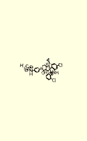 CS(=O)(=O)Nc1ccc(N2CC[C@H]3[C@@H](C2=O)[C@H](c2cccc(Cl)c2F)[C@]2(C(=O)Nc4cc(Cl)ccc42)N3CC2CC2)cc1